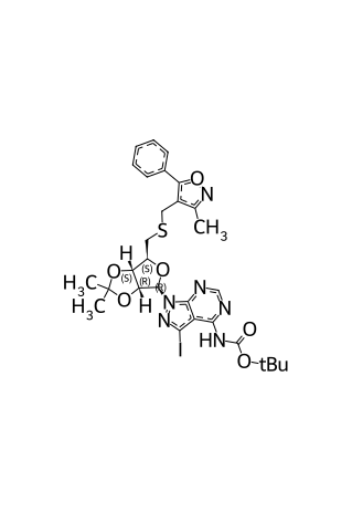 Cc1noc(-c2ccccc2)c1CSC[C@H]1O[C@@H](n2nc(I)c3c(NC(=O)OC(C)(C)C)ncnc32)[C@@H]2OC(C)(C)O[C@@H]21